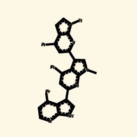 CCn1ccc2c(C(C)C)cc(-c3cn(C)c4nc(-c5c[nH]c6nccc(C(C)C)c56)cc(C(C)C)c34)nc21